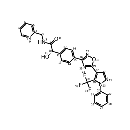 O=C(NCc1ccccn1)[C@@H](O)c1ccc(-c2noc(-c3cnn(-c4ccccc4)c3C(F)(F)F)n2)cc1